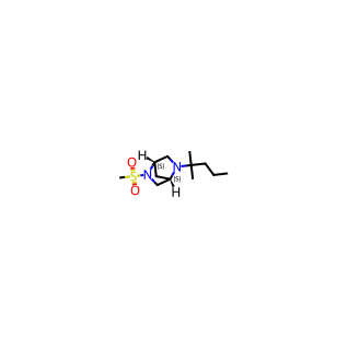 CCCC(C)(C)N1C[C@@H]2C[C@H]1CN2S(C)(=O)=O